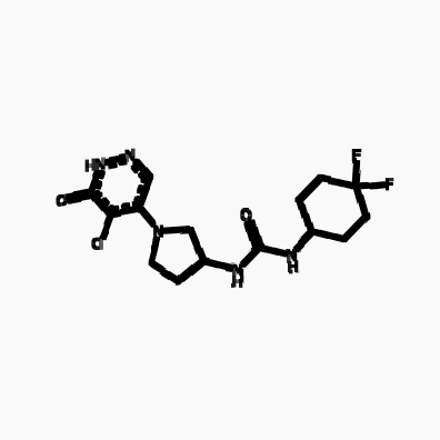 O=C(NC1CCC(F)(F)CC1)NC1CCN(c2cn[nH]c(=O)c2Cl)C1